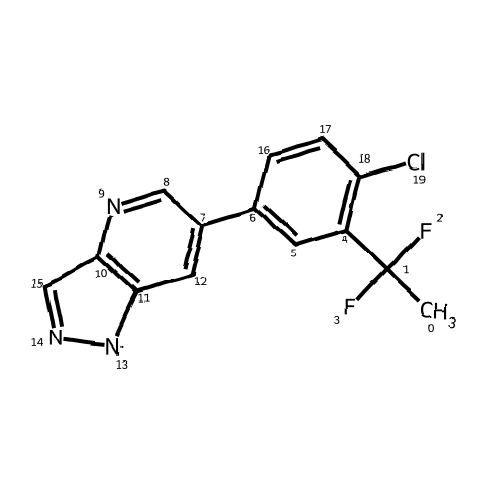 CC(F)(F)c1cc(-c2cnc3c(c2)[N]N=C3)ccc1Cl